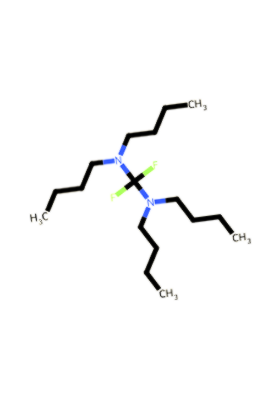 CCCCN(CCCC)C(F)(F)N(CCCC)CCCC